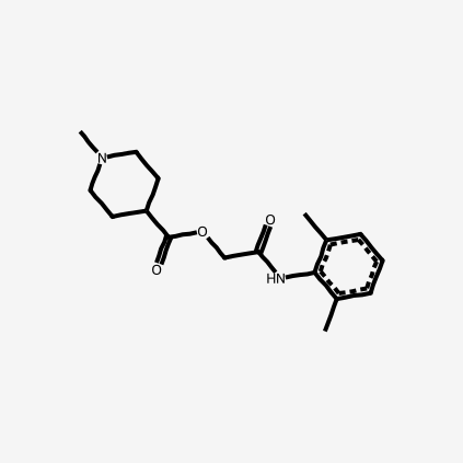 Cc1cccc(C)c1NC(=O)COC(=O)C1CCN(C)CC1